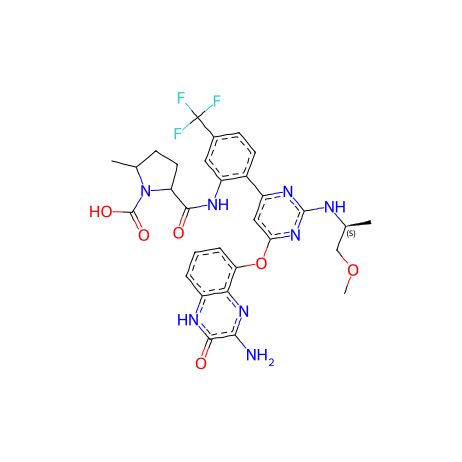 COC[C@H](C)Nc1nc(Oc2cccc3[nH]c(=O)c(N)nc23)cc(-c2ccc(C(F)(F)F)cc2NC(=O)C2CCC(C)N2C(=O)O)n1